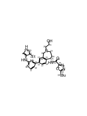 CCc1n[nH]cc1Nc1nccc(-c2ccc3c(c2)CN(CCO)CC[C@@H]3NC(=O)c2nnc(C(C)(C)C)o2)n1